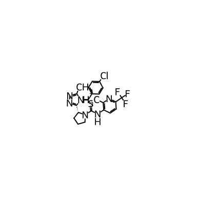 Cc1nc(C(F)(F)F)ccc1NC(=S)N1CCC[C@@H]1c1nnc(C)n1Cc1ccc(Cl)cc1